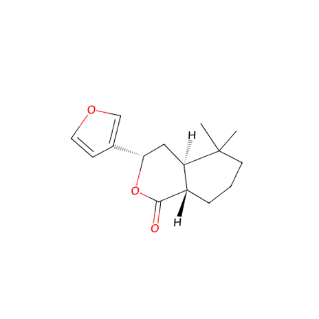 CC1(C)CCC[C@@H]2C(=O)O[C@H](c3ccoc3)C[C@H]21